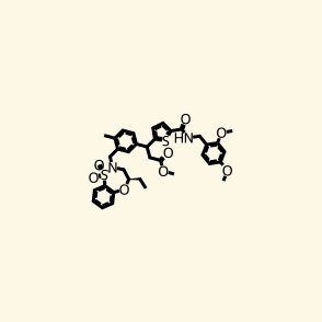 CC[C@@H]1CN(Cc2cc(C(CC(=O)OC)c3ccc(C(=O)NCc4ccc(OC)cc4OC)s3)ccc2C)S(=O)(=O)c2ccccc2O1